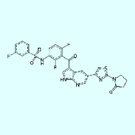 O=C(c1c(F)ccc(NS(=O)(=O)c2cccc(F)c2)c1F)c1c[nH]c2ncc(-c3csc(N4CCCC4=O)n3)cc12